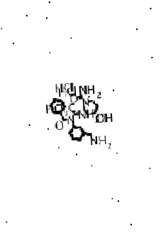 Cl.Cl.NC(=O)N1CCC(O)CC1.NCc1cccc(N(C(=O)c2ccccc2)[C@@H](N)C(=O)O)c1